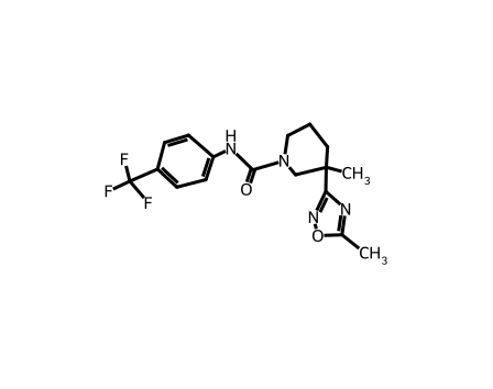 Cc1nc(C2(C)CCCN(C(=O)Nc3ccc(C(F)(F)F)cc3)C2)no1